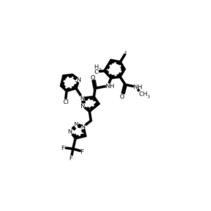 CNC(=O)c1cc(I)cc(C)c1NC(=O)c1cc(Cn2cc(C(F)(F)F)nn2)nn1-c1ncccc1Cl